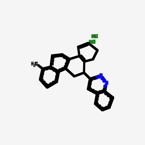 Cl.Cl.FC(F)(F)c1cccc2c3c(ccc12)C1=C(CCC=C1)C(c1cc2ccccc2nn1)C3